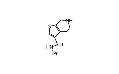 CC(C)NC(=O)c1csc2c1CCNC2